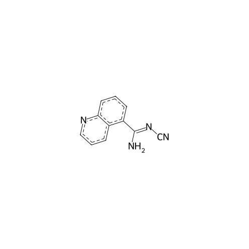 N#C/N=C(\N)c1cccc2ncccc12